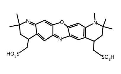 CN1c2cc3c(cc2C(CS(=O)(=O)O)CC1(C)C)N=c1cc2c(cc1O3)=NC(C)(C)CC2CS(=O)(=O)O